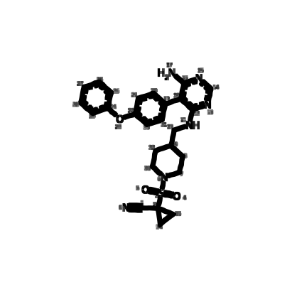 N#CC1(S(=O)(=O)N2CCC(CNc3ncnc(N)c3-c3ccc(Oc4ccccc4)cc3)CC2)CC1